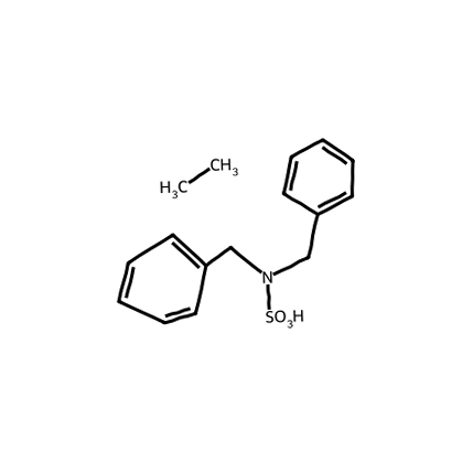 CC.O=S(=O)(O)N(Cc1ccccc1)Cc1ccccc1